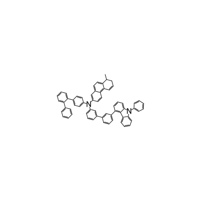 CC1CC=Cc2c1ccc1cc(N(c3ccc(-c4ccccc4-c4ccccc4)cc3)c3cccc(-c4cccc(-c5cccc6c5c5ccccc5n6-c5ccccc5)c4)c3)ccc21